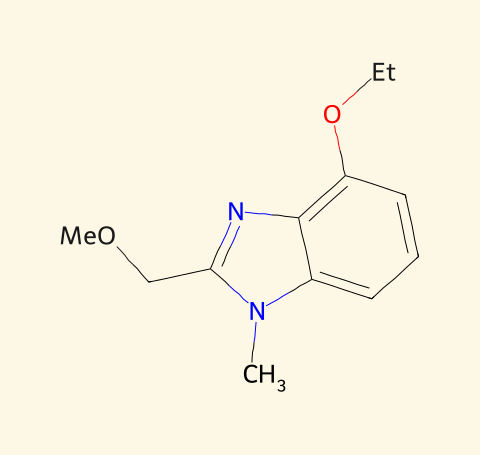 CCOc1cccc2c1nc(COC)n2C